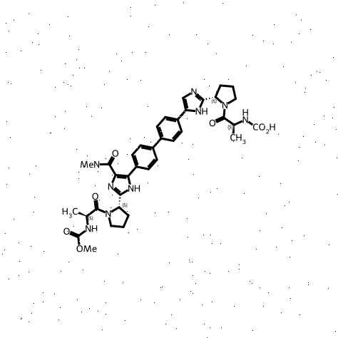 CNC(=O)c1nc([C@@H]2CCCN2C(=O)[C@H](C)NC(=O)OC)[nH]c1-c1ccc(-c2ccc(-c3cnc([C@@H]4CCCN4C(=O)[C@H](C)NC(=O)O)[nH]3)cc2)cc1